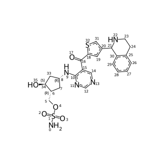 NS(=O)(=O)OC[C@H]1C[C@@H](Nc2ncncc2C(=O)c2cc(C3NCCc4ccccc43)cs2)C[C@@H]1O